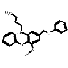 CCCCNc1cc(COc2ccccc2)cc(SN)c1Oc1ccccc1